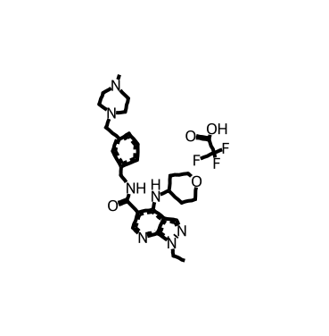 CCn1ncc2c(NC3CCOCC3)c(C(=O)NCc3cccc(CN4CCN(C)CC4)c3)cnc21.O=C(O)C(F)(F)F